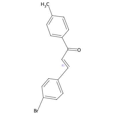 Cc1ccc(C(=O)/C=C/c2ccc(Br)cc2)cc1